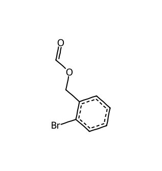 O=COCc1ccccc1Br